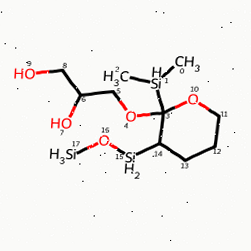 C[SiH](C)C1(OCC(O)CO)OCCCC1[SiH2]O[SiH3]